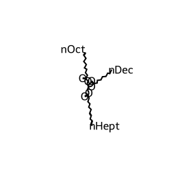 CCCCCCC/C=C/C/C=C/CCCCCC(=O)OCC(COC(=O)CCCCCCC/C=C/CCCCCCCC)OC(=O)CCCCCCCCCCCCCCCCC